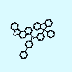 c1ccc(-c2ccc(N(c3cccc(C4(c5ccccc5)c5ccccc5-c5ccccc54)c3)c3cccc4c3ccc3oc5ccccc5c34)cc2)cc1